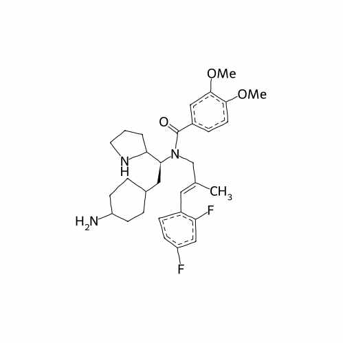 COc1ccc(C(=O)N(CC(C)=Cc2ccc(F)cc2F)[C@@H](CC2CCC(N)CC2)C2CCCN2)cc1OC